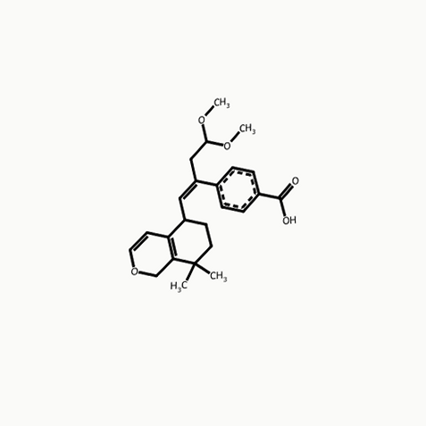 COC(CC(=CC1CCC(C)(C)C2=C1C=COC2)c1ccc(C(=O)O)cc1)OC